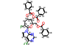 O=C(OC[C@H]1O[C@@H](n2ccc3c(Cl)ncnc32)[C@@H](F)C[C@H](OC(=O)c2ccccc2)[C@@H]1OC(=O)c1ccccc1)c1ccccc1